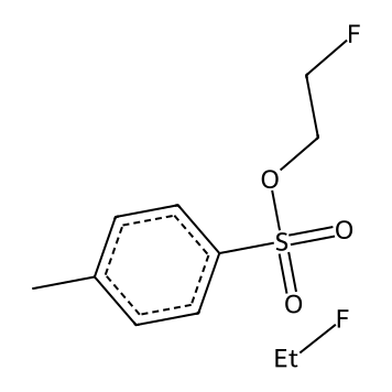 CCF.Cc1ccc(S(=O)(=O)OCCF)cc1